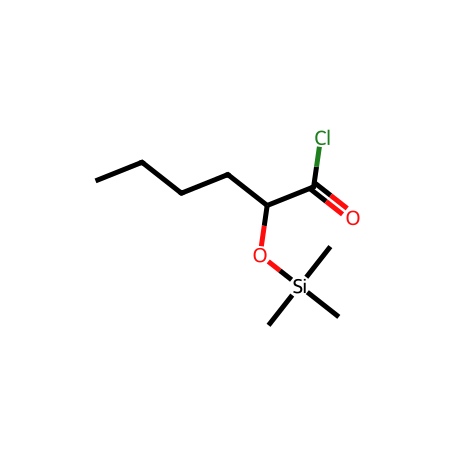 CCCCC(O[Si](C)(C)C)C(=O)Cl